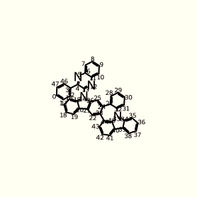 c1ccc(-c2nc3ccccc3nc2-n2c3ccccc3c3cc4c(cc32)-c2ccccc2-n2c3ccccc3c3cccc-4c32)cc1